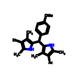 CCc1c(C)[nH]c(C(c2ccc(OC)cc2)c2[nH]c(C)c(C(C)=O)c2C)c1C